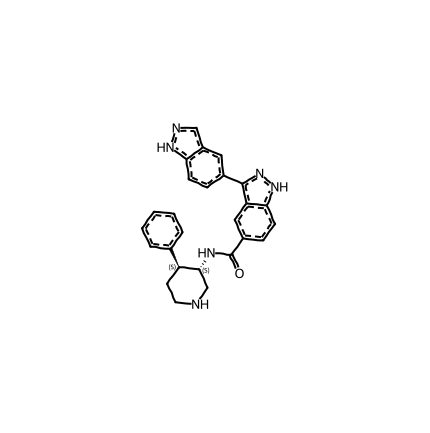 O=C(N[C@@H]1CNCC[C@H]1c1ccccc1)c1ccc2[nH]nc(-c3ccc4[nH]ncc4c3)c2c1